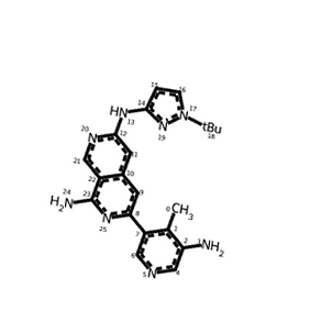 Cc1c(N)cncc1-c1cc2cc(Nc3ccn(C(C)(C)C)n3)ncc2c(N)n1